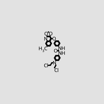 Cc1ccc2c(Oc3ccc(NC(=O)Nc4ccc(N(CCCl)CCCl)cc4)cc3)c3c(nc2c1)OCO3